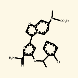 CCOC(=O)N(C)c1ccn2c(-c3cc(OC(C)c4ccccc4Cl)c(C(N)=O)s3)cnc2c1